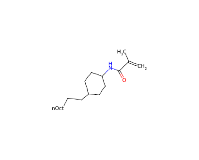 C=C(C)C(=O)NC1CCC(CCCCCCCCCC)CC1